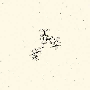 C=C(F)C(=O)OC(OCCCCC(F)(F)C(F)(F)S(=O)(=O)O)(C(=O)OC(C(F)(F)F)C(F)(F)F)C(F)(F)F